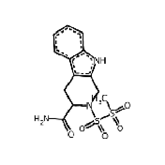 CS(=O)(=O)S(=O)(=O)N1Cc2[nH]c3ccccc3c2CC1C(N)=O